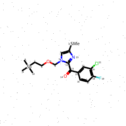 CSc1cn(COCC[Si](C)(C)C)c(C(=O)c2ccc(F)c(Cl)c2)n1